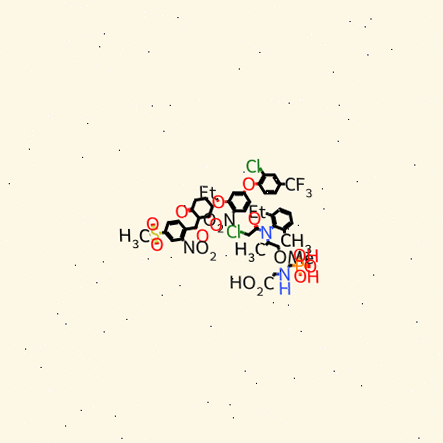 CCOc1cc(Oc2ccc(C(F)(F)F)cc2Cl)ccc1[N+](=O)[O-].CCc1cccc(C)c1N(C(=O)CCl)C(C)COC.CS(=O)(=O)c1ccc(C(=O)C2C(=O)CCCC2=O)c([N+](=O)[O-])c1.O=C(O)CNCP(=O)(O)O